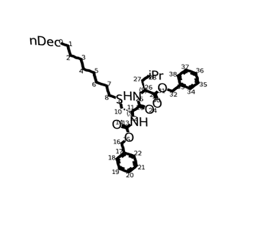 CCCCCCCCCCCCCCCCCCSC[C@@H](NC(=O)OCc1ccccc1)C(=O)N[C@@H](CC(C)C)C(=O)OCc1ccccc1